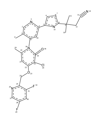 Cc1cnc(-c2csc(C(C)(C)CC#N)n2)cc1-n1c(C)cc(OCc2ncc(F)cc2F)c(Cl)c1=O